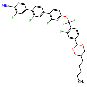 CCCCCC1COC(c2ccc(C(F)(F)Oc3ccc(-c4ccc(-c5ccc(C#N)c(F)c5)c(F)c4)c(F)c3)c(F)c2)OC1